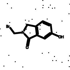 O=C1c2cc(O)ccc2CN1CBr